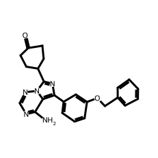 Nc1ncnn2c(C3CCC(=O)CC3)nc(-c3cccc(OCc4ccccc4)c3)c12